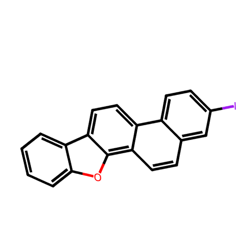 Ic1ccc2c(ccc3c2ccc2c4ccccc4oc23)c1